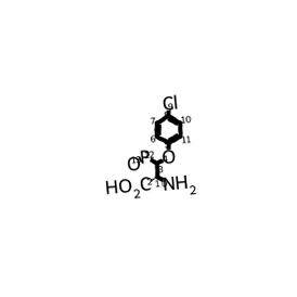 N[C@H](C(=O)O)C(Oc1ccc(Cl)cc1)P=O